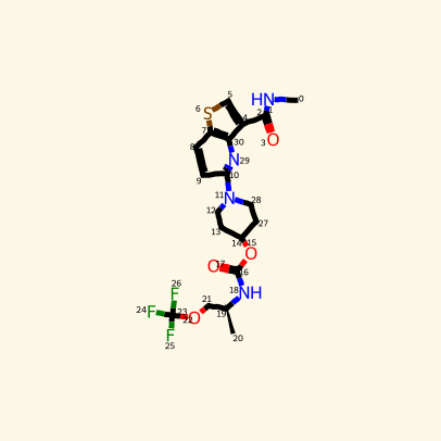 CNC(=O)c1csc2ccc(N3CCC(OC(=O)N[C@@H](C)COC(F)(F)F)CC3)nc12